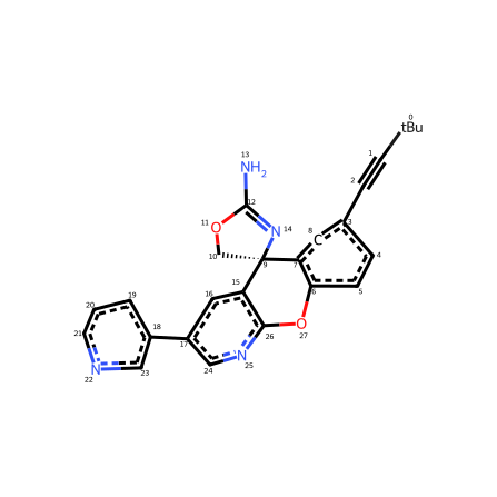 CC(C)(C)C#Cc1ccc2c(c1)[C@@]1(COC(N)=N1)c1cc(-c3cccnc3)cnc1O2